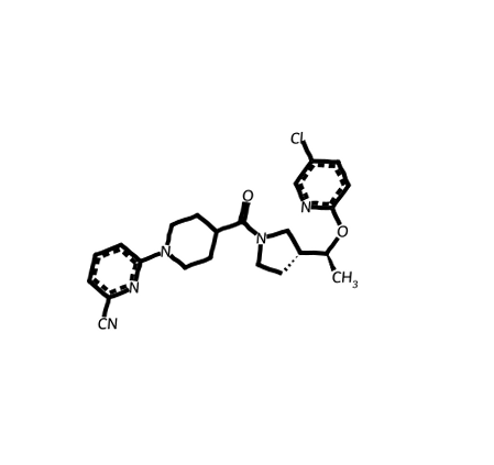 C[C@H](Oc1ccc(Cl)cn1)[C@@H]1CCN(C(=O)C2CCN(c3cccc(C#N)n3)CC2)C1